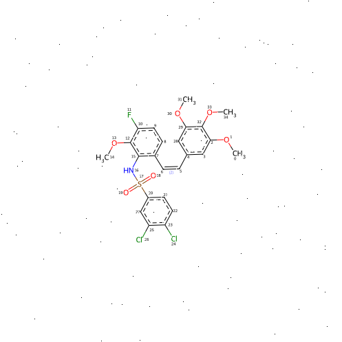 COc1cc(/C=C\c2ccc(F)c(OC)c2NS(=O)(=O)c2ccc(Cl)c(Cl)c2)cc(OC)c1OC